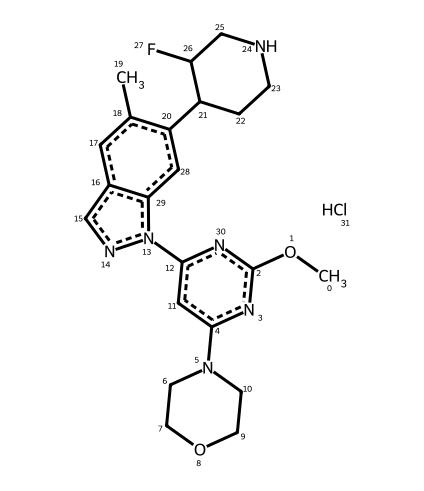 COc1nc(N2CCOCC2)cc(-n2ncc3cc(C)c(C4CCNCC4F)cc32)n1.Cl